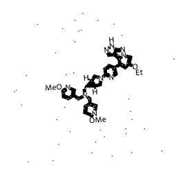 CCOc1cc(-c2ccc(N3C[C@@H]4[C@H](CN(Cc5ccc(OC)nc5)Cc5ccc(OC)nc5)[C@@H]4C3)nc2)c2c3cn[nH]c3nn2c1